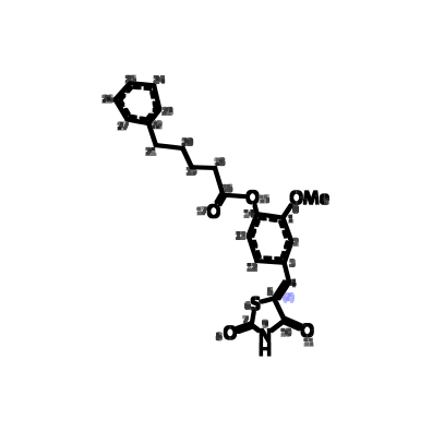 COc1cc(/C=C2\SC(=O)NC2=O)ccc1OC(=O)CCCCc1ccccc1